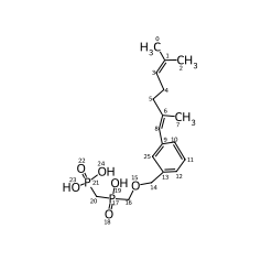 CC(C)=CCC/C(C)=C/c1cccc(COCP(=O)(O)CP(=O)(O)O)c1